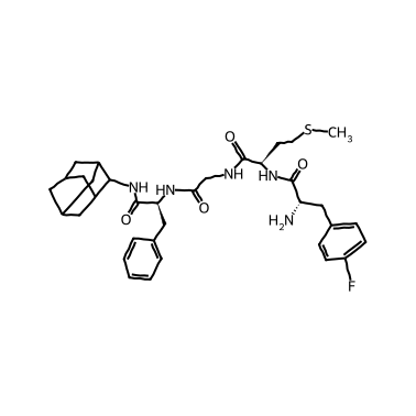 CSCC[C@@H](NC(=O)[C@@H](N)Cc1ccc(F)cc1)C(=O)NCC(=O)N[C@@H](Cc1ccccc1)C(=O)NC1C2CC3CC(C2)CC1C3